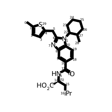 Cc1ccc(Cc2nc3cc(C(=O)N[C@@H](CC(C)C)C(=O)O)ccc3n2C2CCCCC2C)s1